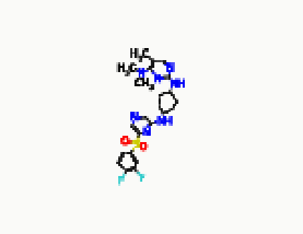 Cc1cnc(N[C@H]2CC[C@@H](Nc3cncc(S(=O)(=O)c4ccc(F)c(F)c4)n3)CC2)nc1N(C)C